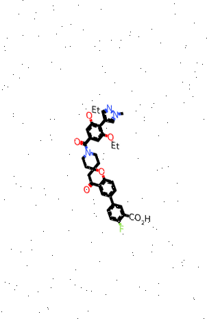 CCOc1cc(C(=O)N2CCC3(CC2)CC(=O)c2cc(-c4ccc(F)c(C(=O)O)c4)ccc2O3)cc(OCC)c1-c1cnn(C)c1